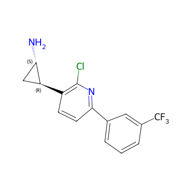 N[C@H]1C[C@@H]1c1ccc(-c2cccc(C(F)(F)F)c2)nc1Cl